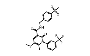 CSc1cc(C(=O)NCc2ccc(S(C)(=O)=O)cc2)c(=O)n(-c2cccc(C(F)(F)F)c2)c1C